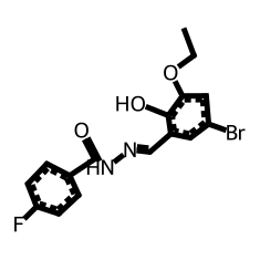 CCOc1cc(Br)cc(C=NNC(=O)c2ccc(F)cc2)c1O